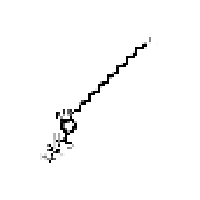 CCCCCCCCCCCCCCCCNc1ccc(C(=O)NS(C)(=O)=O)cc1F